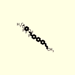 CCCCCC1CCC(C2CCC(C3CCC(C(F)C(F)COc4ccc(OCC)c(F)c4F)CC3)CC2)CC1